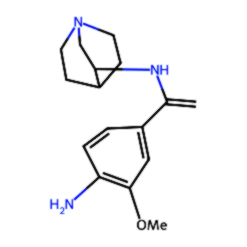 C=C(NC1CN2CCC1CC2)c1ccc(N)c(OC)c1